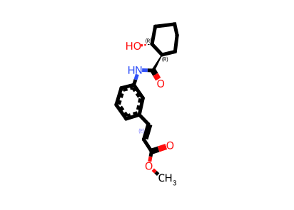 COC(=O)/C=C/c1cccc(NC(=O)[C@@H]2CCCC[C@H]2O)c1